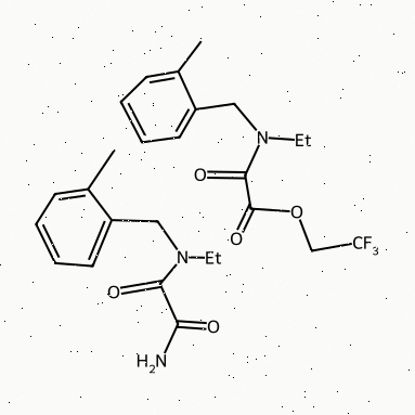 CCN(Cc1ccccc1C)C(=O)C(=O)OCC(F)(F)F.CCN(Cc1ccccc1C)C(=O)C(N)=O